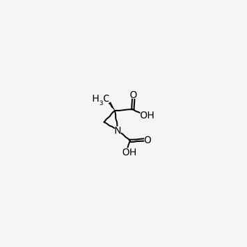 C[C@]1(C(=O)O)CN1C(=O)O